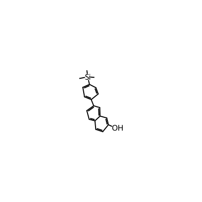 C[Si](C)(C)c1ccc(-c2ccc3ccc(O)cc3c2)cc1